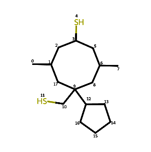 CC1CC(S)CC(C)CC(CS)(C2CCCC2)C1